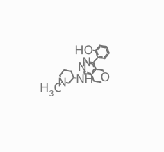 CN1CCCC(Nc2nnc(-c3ccccc3O)c3c2CCOC3)C1